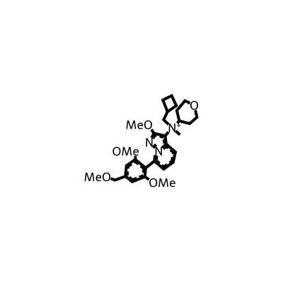 COCc1cc(OC)c(-c2cccc3c([N+](C)(CC4CCC4)C4CCOCC4)c(OC)nn23)c(OC)c1